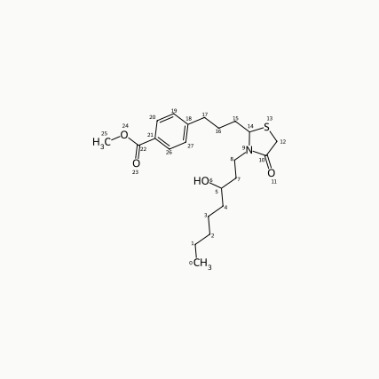 CCCCCC(O)CCN1C(=O)CSC1CCCc1ccc(C(=O)OC)cc1